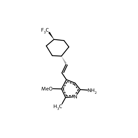 COc1c(/C=C/[C@H]2CC[C@H](C(F)(F)F)CC2)cc(N)nc1C